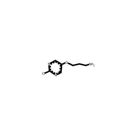 NCCCOc1cnc(Cl)nc1